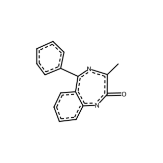 Cc1nc(-c2ccccc2)c2ccccc2nc1=O